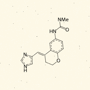 CNC(=O)Nc1ccc2c(c1)/C(=C/c1c[nH]cn1)CCO2